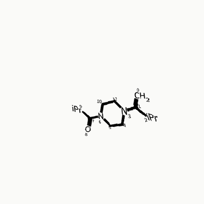 C=C(C(C)C)N1CCN(C(=O)C(C)C)CC1